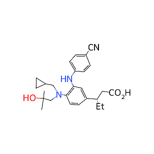 CC[C@@H](CC(=O)O)c1ccc(N(CC2CC2)CC(C)(C)O)c(Nc2ccc(C#N)cc2)c1